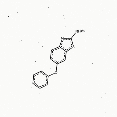 CC(=O)Nc1nc2ccc(Oc3ccccc3)cc2s1